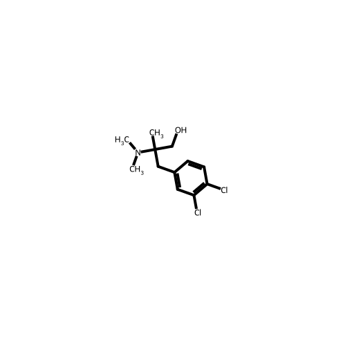 CN(C)C(C)(CO)Cc1ccc(Cl)c(Cl)c1